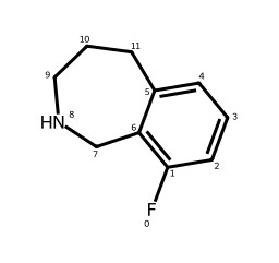 Fc1cccc2c1CNCCC2